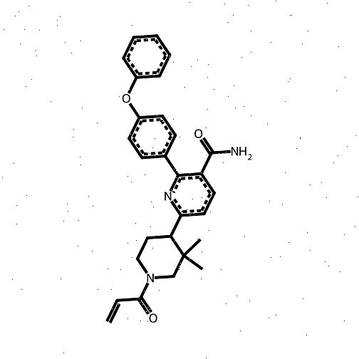 C=CC(=O)N1CCC(c2ccc(C(N)=O)c(-c3ccc(Oc4ccccc4)cc3)n2)C(C)(C)C1